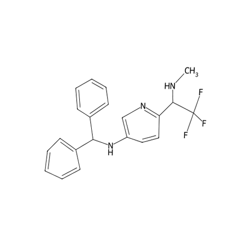 CNC(c1ccc(NC(c2ccccc2)c2ccccc2)cn1)C(F)(F)F